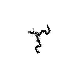 CC/C=C\C/C=C\C/C=C\C/C=C\CCCCC(=O)OC[C@H](COP(=O)(O)OC[C@@H](O)CO)OC(=O)CCC/C=C\C/C=C\C/C=C\C/C=C\CCCCC